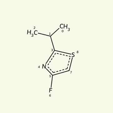 CC(C)c1nc(F)cs1